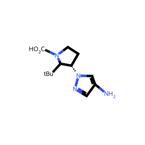 CC(C)(C)C1[C@@H](n2cc(N)cn2)CCN1C(=O)O